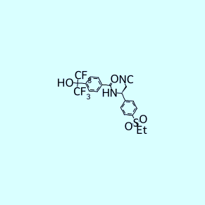 CCS(=O)(=O)c1ccc([C@H](CC#N)NC(=O)c2ccc(C(O)(C(F)(F)F)C(F)(F)F)cc2)cc1